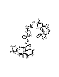 CC(C)(CNC(=O)CCC(=O)N1CC2=C(C#Cc3ccccc31)C=CCC2)COCC(C)(C)CC(=O)ON1C(=O)CCC1=O